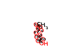 CS(=O)(=O)OC(=O)C(=O)OC(=O)C(=O)C(=O)O